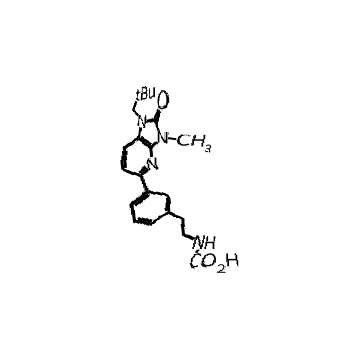 Cn1c(=O)n(CC(C)(C)C)c2ccc(-c3cccc(CCNC(=O)O)c3)nc21